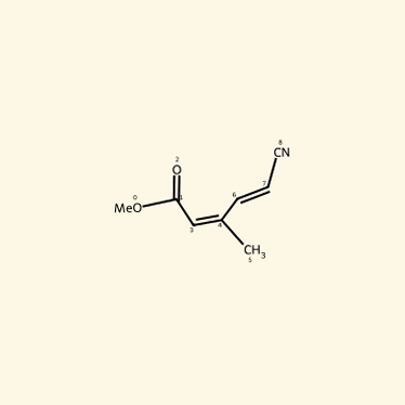 COC(=O)C=C(C)C=CC#N